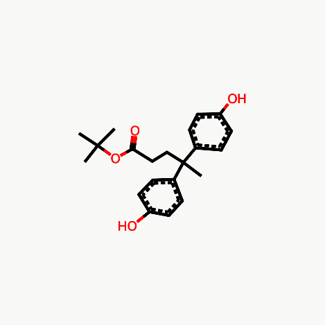 CC(C)(C)OC(=O)CCC(C)(c1ccc(O)cc1)c1ccc(O)cc1